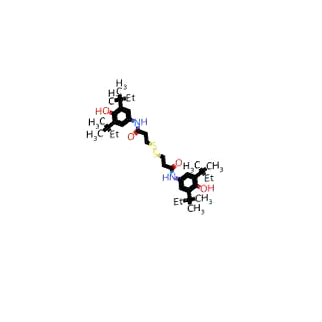 CCC(C)(C)c1cc(NC(=O)CCSSCCC(=O)Nc2cc(C(C)(C)CC)c(O)c(C(C)(C)CC)c2)cc(C(C)(C)CC)c1O